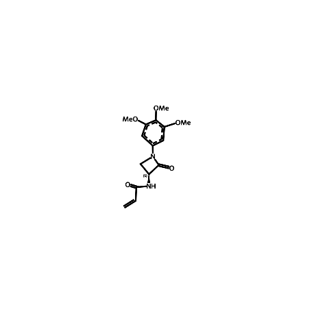 C=CC(=O)N[C@H]1CN(c2cc(OC)c(OC)c(OC)c2)C1=O